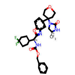 O=C(N[C@H](c1nc2cc(C3(N4C[C@@H](C(F)(F)F)NC4=O)CCOCC3)ccc2o1)C1CCC(F)(F)CC1)OCc1ccccc1